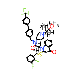 [2H]C([2H])(C(=O)N(Cc1ccc(-c2ccc(C(F)(F)F)cc2)cc1)C1CCN(C([2H])([2H])C([2H])([2H])OC)CC1)n1c(SCc2cccc(F)c2F)cc(=O)c2ccccc21